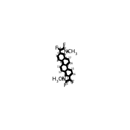 Cn1c(F)c(F)c2ccc3c4ccc5c(ccc6c(F)c(F)n(C)c65)c4ccc3c21